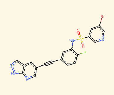 O=S(=O)(Nc1cc(C#Cc2cnc3[nH]ncc3c2)ccc1F)c1cncc(Br)c1